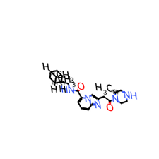 C[C@@H]1CNCCN1C(=O)Cc1cn2c(C(=O)NC[C@@H]3CC[C@@H]4C[C@@H]3C4(C)C)cccc2n1